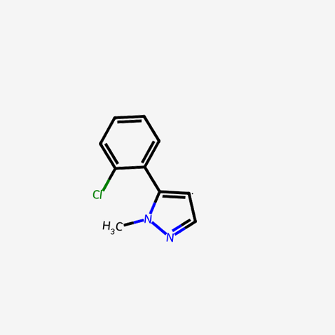 Cn1nc[c]c1-c1ccccc1Cl